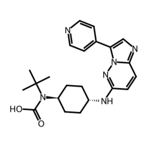 CC(C)(C)N(C(=O)O)[C@H]1CC[C@H](Nc2ccc3ncc(-c4ccncc4)n3n2)CC1